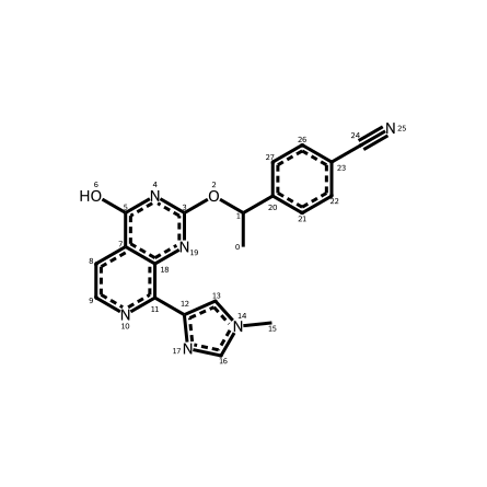 CC(Oc1nc(O)c2ccnc(-c3cn(C)cn3)c2n1)c1ccc(C#N)cc1